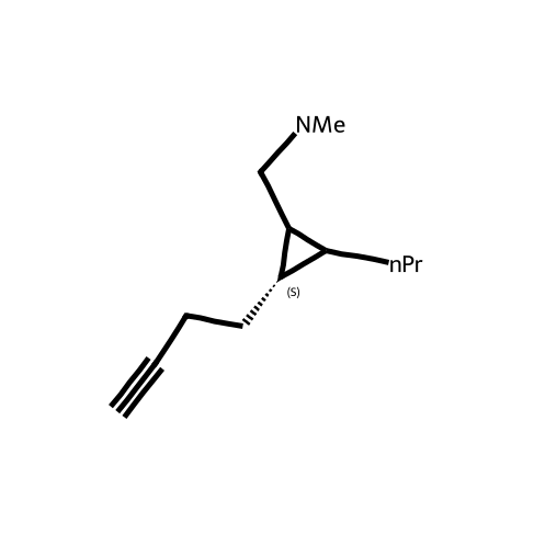 C#CCC[C@H]1C(CCC)C1CNC